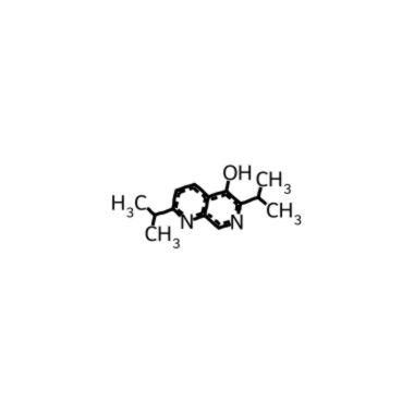 CC(C)c1ccc2c(O)c(C(C)C)ncc2n1